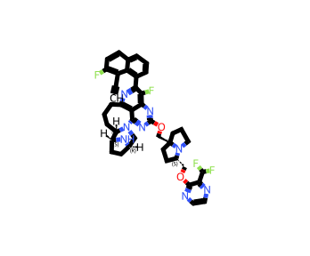 C#Cc1c(F)ccc2cccc(-c3nc4c5c(nc(OC[C@@]67CCCN6[C@H](COc6nccnc6C(F)F)CC7)nc5c3F)N3C[C@H]5CC[C@H](N5)[C@H]3CCC4)c12